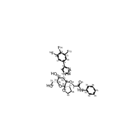 O=C(CO[C@@H]1[C@@H](n2cc(-c3cc(F)c(F)c(F)c3)nn2)[C@@H](O)[C@@H](CO)O[C@@]12CCCO2)Nc1ccccc1